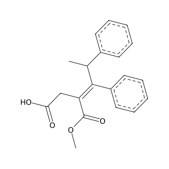 COC(=O)C(CC(=O)O)=C(c1ccccc1)C(C)c1ccccc1